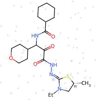 CCN1C[C@@H](C)S/C1=N\NC(=O)C(=O)C(NC(=O)C1CCCCC1)C1CCOCC1